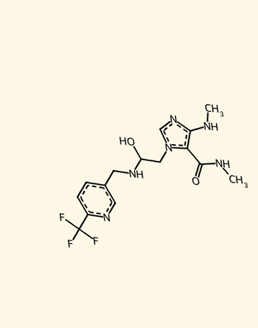 CNC(=O)c1c(NC)ncn1CC(O)NCc1ccc(C(F)(F)F)nc1